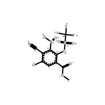 COC(=O)c1cc(Cl)c(C#N)c([N+](=O)[O-])c1OS(=O)(=O)C(F)(F)F